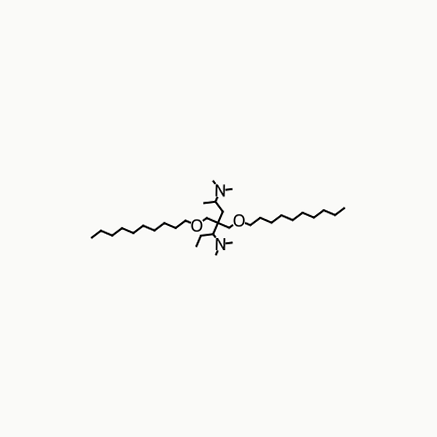 CCCCCCCCCCOCC(COCCCCCCCCCC)(CC(C)N(C)C)C(CC)N(C)C